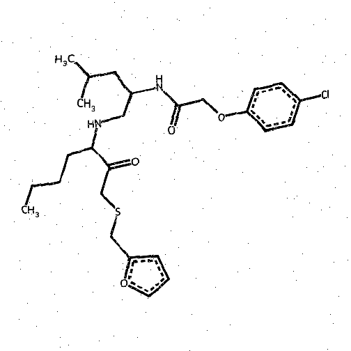 CCCCC(NCC(CC(C)C)NC(=O)COc1ccc(Cl)cc1)C(=O)CSCc1ccco1